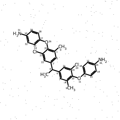 Cc1cc(C(C)c2cc(C)c(Oc3ccc(N)cc3)c(Cl)c2)cc(Cl)c1Oc1ccc(N)cc1